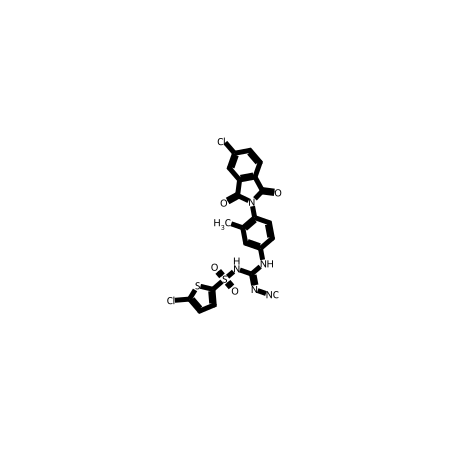 [C-]#[N+]/N=C(\Nc1ccc(N2C(=O)c3ccc(Cl)cc3C2=O)c(C)c1)NS(=O)(=O)c1ccc(Cl)s1